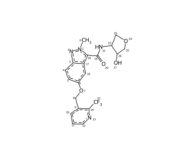 Cn1nc2ccc(OCc3cccnc3C(F)(F)F)cc2c1C(=O)NC1COCC1O